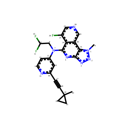 Cn1nnc2nc(N(CC(F)F)c3ccnc(C#CC4(C)CC4)c3)c3c(F)cncc3c21